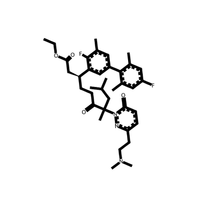 CCOC(=O)C[C@H](CCC(=O)C(C)(CC(C)C)n1nc(CCN(C)C)ccc1=O)c1cc(-c2c(C)cc(F)cc2C)cc(C)c1F